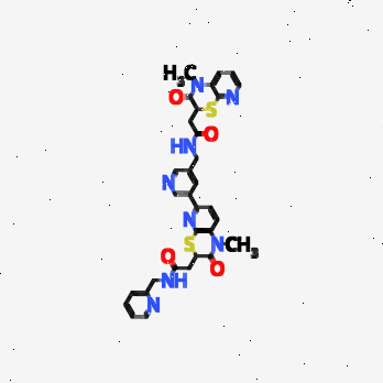 CN1C(=O)C(CC(=O)NCc2cncc(-c3ccc4c(n3)SC(CC(=O)NCc3ccccn3)C(=O)N4C)c2)Sc2ncccc21